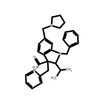 CC(C)C1N(Cc2ccccc2)c2cc(CN3CCCC3)ccc2C1(Cc1ccccn1)C(N)=O